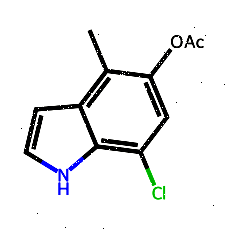 CC(=O)Oc1cc(Cl)c2[nH]ccc2c1C